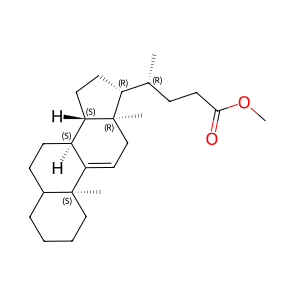 COC(=O)CC[C@@H](C)[C@H]1CC[C@H]2[C@@H]3CCC4CCCC[C@]4(C)C3=CC[C@]12C